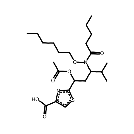 CCCCCCON(C(=O)CCCC)C(CC(OC(C)=O)c1nc(C(=O)O)cs1)C(C)C